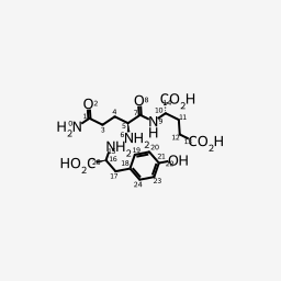 NC(=O)CC[C@H](N)C(=O)N[C@@H](CCC(=O)O)C(=O)O.N[C@@H](Cc1ccc(O)cc1)C(=O)O